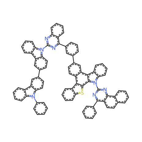 c1ccc(-c2nc(-n3c4ccccc4c4c5cc(-c6cccc(-c7nc(-n8c9ccccc9c9cc(-c%10ccc%11c(c%10)c%10ccccc%10n%11-c%10ccccc%10)ccc98)nc8ccccc78)c6)ccc5c5c6ccccc6sc5c43)nc3c2ccc2ccccc23)cc1